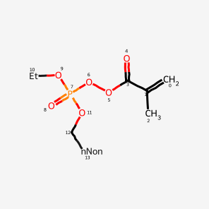 C=C(C)C(=O)OOP(=O)(OCC)OCCCCCCCCCC